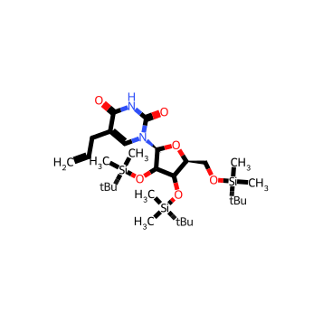 C=CCc1cn([C@H]2O[C@@H](CO[Si](C)(C)C(C)(C)C)C(O[Si](C)(C)C(C)(C)C)C2O[Si](C)(C)C(C)(C)C)c(=O)[nH]c1=O